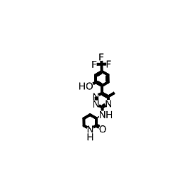 Cc1nc(N[C@H]2CCCNC2=O)nnc1-c1ccc(C(F)(F)F)cc1O